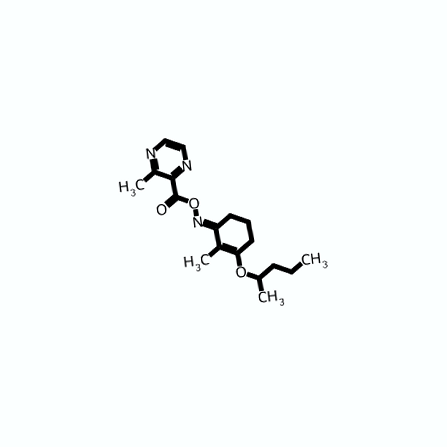 CCCC(C)OC1=C(C)/C(=N/OC(=O)c2nccnc2C)CCC1